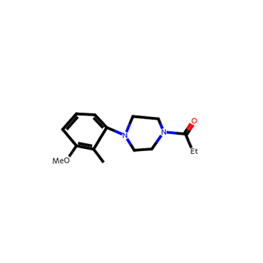 CCC(=O)N1CCN(c2cccc(OC)c2C)CC1